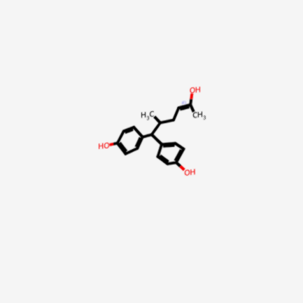 C/C(O)=C\CC(C)C(c1ccc(O)cc1)c1ccc(O)cc1